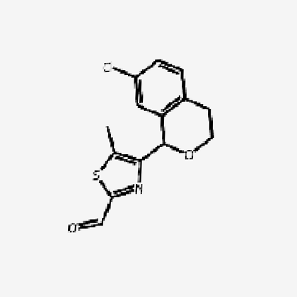 Cc1sc(C=O)nc1C1OCCc2ccc(Cl)cc21